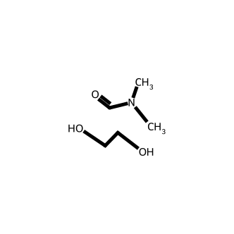 CN(C)C=O.OCCO